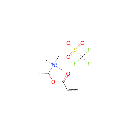 C=CC(=O)OC(C)[N+](C)(C)C.O=S(=O)([O-])C(F)(F)F